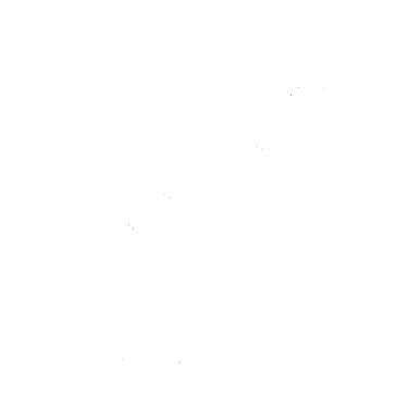 CC(c1ccc(-c2cncc(O)c2)cc1F)N1CCN(c2ccc(C(=O)NS(=O)(=O)CC34CC5CC(CC(C5)C3)C4)cc2)CC1